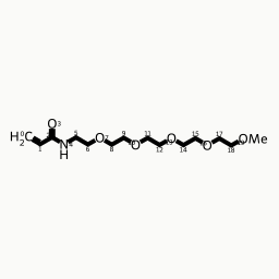 C=CC(=O)NCCOCCOCCOCCOCCOC